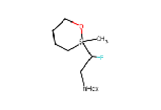 CCCCCCCC(F)[Si]1(C)CCCCO1